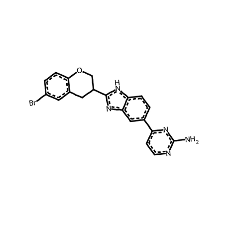 Nc1nccc(-c2ccc3[nH]c(C4COc5ccc(Br)cc5C4)nc3c2)n1